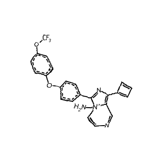 N[N+]12C=CN=CC1=C(C1=CC=C1)N=C2c1ccc(Oc2ccc(OC(F)(F)F)cc2)cc1